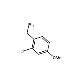 BCc1ccc(OC)cc1Cl